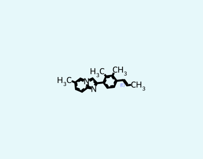 C/C=C/c1ccc(-c2cn3cc(C)ccc3n2)c(C)c1C